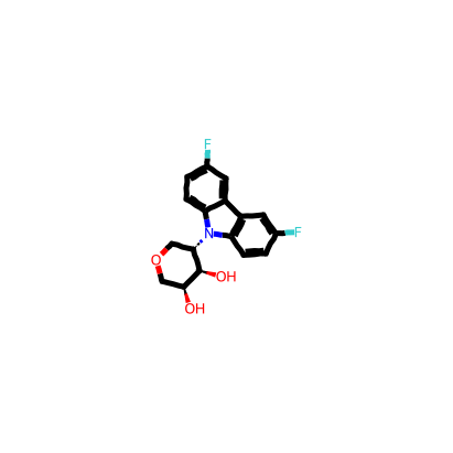 O[C@H]1[C@@H](O)COC[C@@H]1n1c2ccc(F)cc2c2cc(F)ccc21